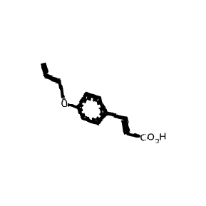 C=CCOc1ccc(C=CC(=O)O)cc1